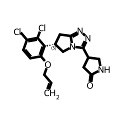 C=CCOc1ccc(Cl)c(Cl)c1[C@@H]1Cc2nnc(C3CNC(=O)C3)n2C1